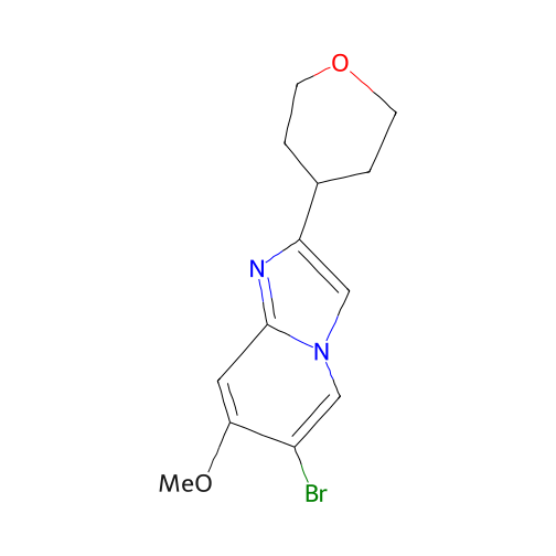 COc1cc2nc(C3CCOCC3)cn2cc1Br